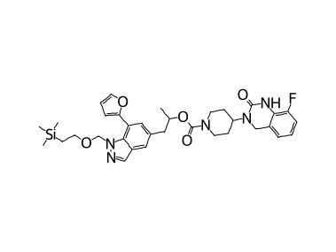 CC(Cc1cc(-c2ccco2)c2c(cnn2COCC[Si](C)(C)C)c1)OC(=O)N1CCC(N2Cc3cccc(F)c3NC2=O)CC1